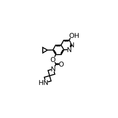 O=C(Oc1cc2nnc(O)cc2cc1C1CC1)N1CC2(CNC2)C1